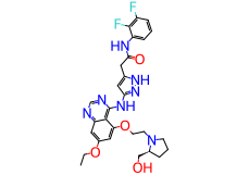 CCOc1cc(OCCN2CCC[C@H]2CO)c2c(Nc3cc(CC(=O)Nc4cccc(F)c4F)[nH]n3)ncnc2c1